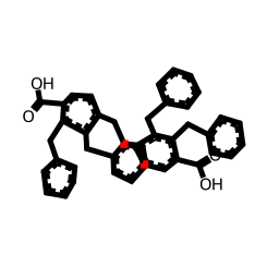 O=C(O)c1ccc(CCc2ccc(C(=O)O)c(Cc3ccccc3)c2Cc2ccccc2)c(Cc2ccccc2)c1Cc1ccccc1